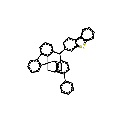 c1ccc(-c2ccc(C(c3ccc4c(c3)sc3ccccc34)c3cccc4c3C3(CC5CCC3C5)c3ccccc3-4)cc2)cc1